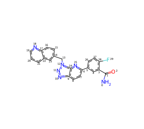 NC(=O)c1cc(-c2ccc3nnn(Cc4ccc5ncccc5c4)c3n2)ccc1F